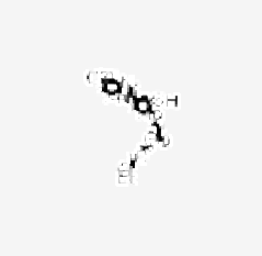 CCOCCOCCOC(=O)CCOc1ccc(-c2cnc3cc(Cl)ccc3n2)cc1O